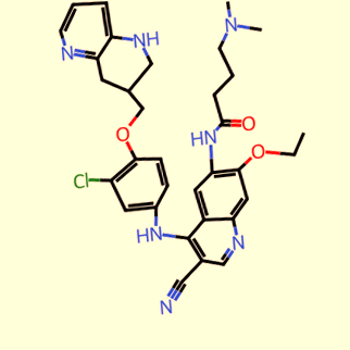 CCOc1cc2ncc(C#N)c(Nc3ccc(OCC4CNc5cccnc5C4)c(Cl)c3)c2cc1NC(=O)CCCN(C)C